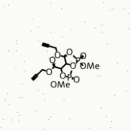 C#CCOC(=O)C(OP(C)(=O)OC)C(OP(C)(=O)OC)C(=O)OCC#C